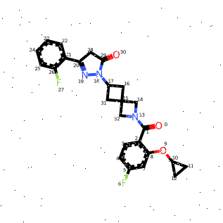 O=C(c1ccc(F)cc1OC1CC1)N1CC2(CC(N3N=C(c4ccccc4F)CC3=O)C2)C1